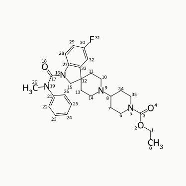 CCOC(=O)N1CCC(N2CCC3(CC2)CN(C(=O)N(C)c2ccccc2)c2ccc(F)cc23)CC1